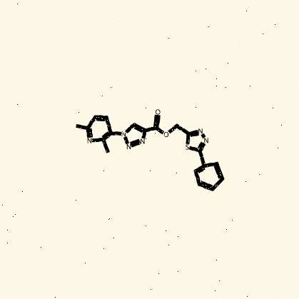 Cc1ccc(-n2cc(C(=O)OCc3nnc(-c4ccccc4)s3)nn2)c(C)n1